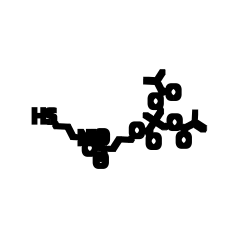 C=C(C)C(=O)OCC(C)(COC(=O)C(=C)C)C(=O)OCCCS(=O)(=O)ONCCCS